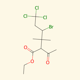 CCOC(=O)C(C(C)=O)C(C)(C)C(Br)CC(Cl)(Cl)Cl